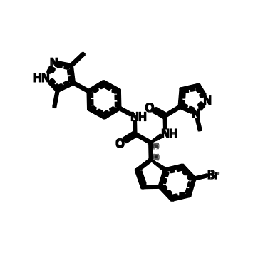 Cc1n[nH]c(C)c1-c1ccc(NC(=O)[C@@H](NC(=O)c2ccnn2C)[C@@H]2C=Cc3ccc(Br)cc32)cc1